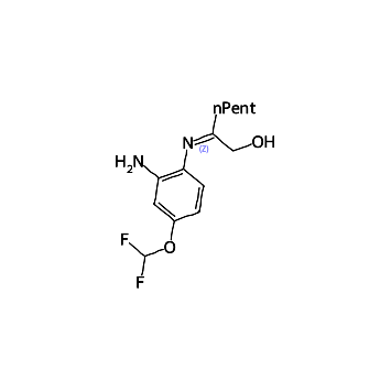 CCCCC/C(CO)=N/c1ccc(OC(F)F)cc1N